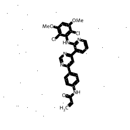 C=CC(=O)Nc1ccc(-c2cc(-c3cccnc3Nc3c(Cl)c(OC)cc(OC)c3Cl)ncn2)cc1